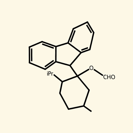 CC1CCC(C(C)C)C(OC=O)(C2c3ccccc3-c3ccccc32)C1